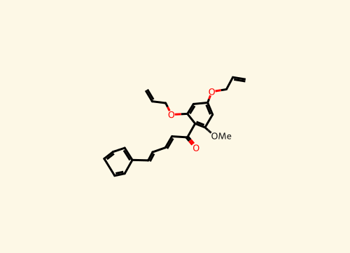 C=CCOc1cc(OC)c(C(=O)C=CC=Cc2ccccc2)c(OCC=C)c1